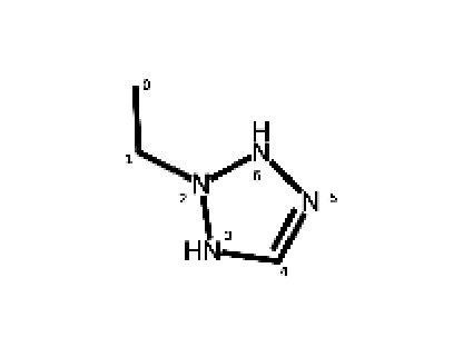 CCN1NC=NN1